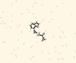 O=C(NC[C@@H]1C[C@H]1c1cccc2ccoc12)C1CC1